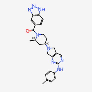 Cc1ccc(Nc2ncc3c(n2)CN([C@@H]2CCN(C(=O)c4ccc5[nH]nnc5c4)[C@H](C)C2)C3)cc1